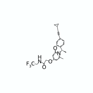 Cc1cc(OCC(=O)NCC(F)(F)F)cc(=O)n1[C@H](C)c1ccc(C#CC2CC2)cc1